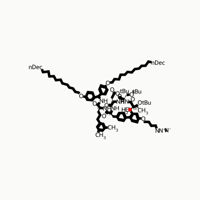 CCCCCCCCCCCCCCCCCCCCCCOc1ccc(C(NC(=O)[C@H](CCCc2cc(C)cc(C)c2)NC(=O)[C@H](Cc2ccc(-c3ccc(OCCCCN=[N+]=[N-])cc3CC)cc2)NC(=O)[C@H](CC(=O)OC(C)(C)C)NC(=O)[C@H](COC(C)(C)C)NC(=O)[C@@H](N)[C@@H](C)OC(C)(C)C)c2ccc(OCCCCCCCCCCCCCCCCCCCCCC)cc2)cc1